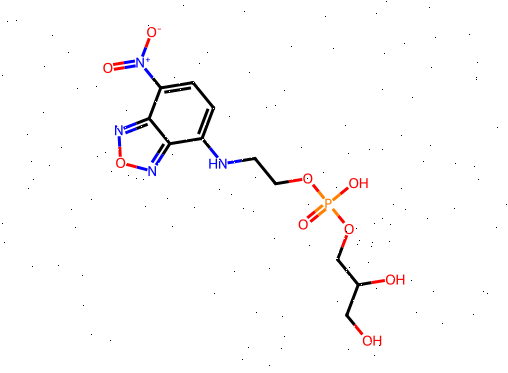 O=[N+]([O-])c1ccc(NCCOP(=O)(O)OCC(O)CO)c2nonc12